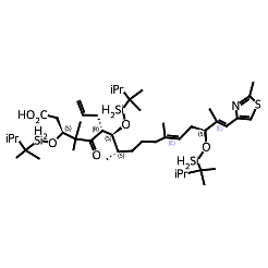 C=CC[C@@H](C(=O)C(C)(C)[C@H](CC(=O)O)O[SiH2]C(C)(C)C(C)C)[C@@H](O[SiH2]C(C)(C)C(C)C)[C@@H](C)CCC/C(C)=C/C[C@H](O[SiH2]C(C)(C)C(C)C)/C(C)=C/c1csc(C)n1